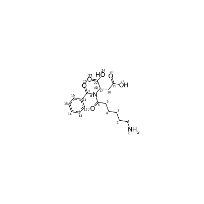 NCCCCCC(=O)N(C(=O)c1ccccc1)[C@@H](CC(=O)O)C(=O)O